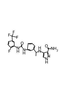 CC(Nc1c[nH]nc1C(N)=O)c1cccc(NC(=O)Nc2cc(C(F)(F)F)ccc2F)c1